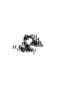 C=C1C[C@H](C)C[C@@H]2CC=C[C@@H](C/C=C/C(=O)O[C@H]([C@H](/C=C/[C@@H]3CC(C)=CCO3)O[Si](C)(C)C(C)(C)C)C/C=C/[C@H](O[Si](C)(C)C(C)(C)C)C1)O2